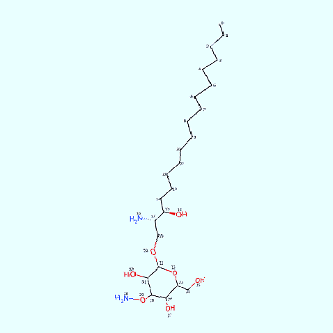 CCCCCCCCCCCCCCC[C@@H](O)[C@@H](N)COC1OC(CO)C(O)C(ON)C1O